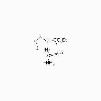 CCOC(=O)[C@H]1CCCN1C(N)=O